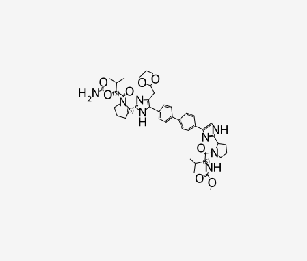 COC(=O)N[C@H](C(=O)N1CCCC1c1nc(-c2ccc(-c3ccc(-c4[nH]c([C@@H]5CCCN5C(=O)[C@@H](OC(N)=O)C(C)C)nc4CC4OCCCO4)cc3)cc2)c[nH]1)C(C)C